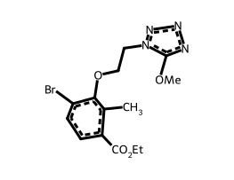 CCOC(=O)c1ccc(Br)c(OCCn2nnnc2OC)c1C